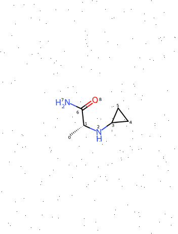 C[C@@H](NC1CC1)C(N)=O